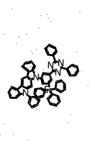 c1ccc(-c2nc(-c3ccccc3)nc(-c3cc(-n4c5ccccc5c5cc6c7ccccc7n(-c7ccccc7)c6cc54)cc([Si](c4ccccc4)(c4ccccc4)c4ccccc4)c3)n2)cc1